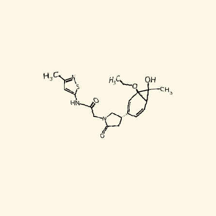 CCOC12C=C([C@@H]3CC(=O)N(CC(=O)Nc4cc(C)ns4)C3)C=CC1C2(C)O